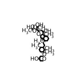 CC(=O)O[C@@H]([C@H]1C[C@@H](C)C2C(C[C@@]3(C)[C@H](CCC4C(C)CC[C@H](OC5C[C@@H](O)CCO5)C4(C)C)CCC[C@]23C)O1)C(C)(C)O